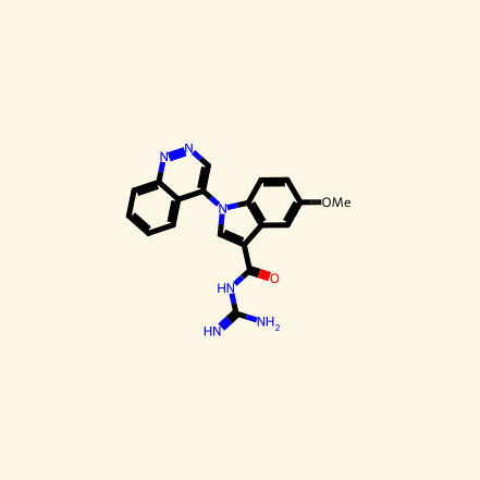 COc1ccc2c(c1)c(C(=O)NC(=N)N)cn2-c1cnnc2ccccc12